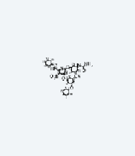 N#Cc1cc(Oc2ccccc2)cc(Oc2nc(Oc3cccc(NC(N)=O)c3)nc(NCc3ccccc3)c2[N+](=O)[O-])c1